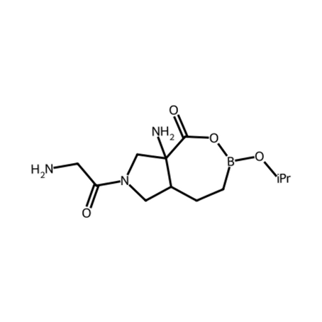 CC(C)OB1CCC2CN(C(=O)CN)CC2(N)C(=O)O1